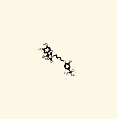 CCCc1cc(C(O)(C(F)(F)F)C(F)(F)F)ccc1OCCCCN1C(=O)NC(CC)(c2ccc(O)c(O)c2)C1=O